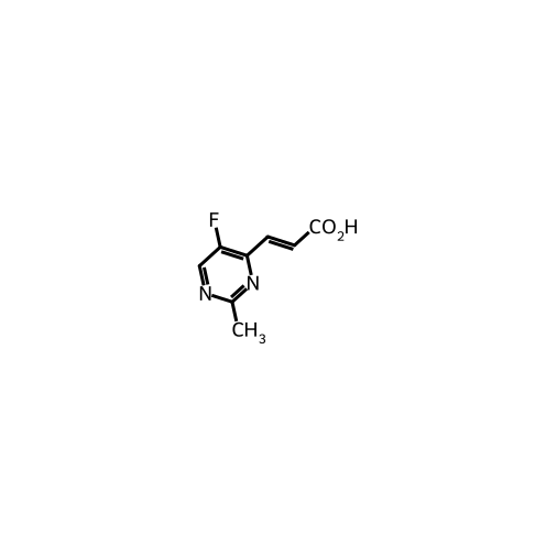 Cc1ncc(F)c(/C=C/C(=O)O)n1